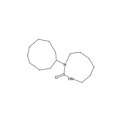 O=C1NCCCCCCN1C1CCCCCCCC1